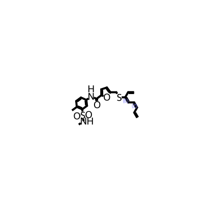 C=C/C=C\C=C(/C=C)SCc1ccc(C(=O)Nc2ccc(C)c(S(=O)(=O)NC)c2)o1